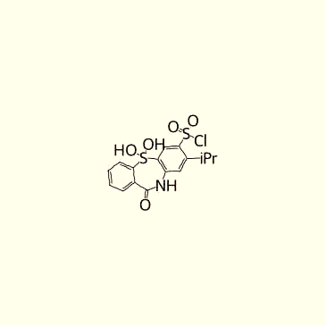 CC(C)c1cc2c(cc1S(=O)(=O)Cl)S(O)(O)c1ccccc1C(=O)N2